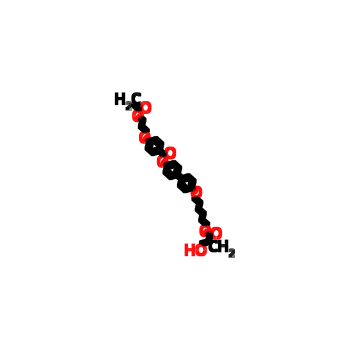 C=CC(=O)OCCCOc1ccc(C(=O)Oc2ccc(-c3ccc(OCCCCCCOC(=O)C(=C)CO)cc3)cc2)cc1